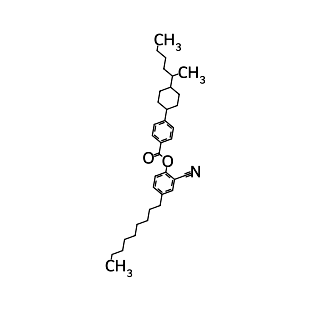 CCCCCCCCCc1ccc(OC(=O)c2ccc(C3CCC(C(C)CCCC)CC3)cc2)c(C#N)c1